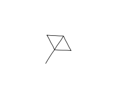 CC12CC1C2